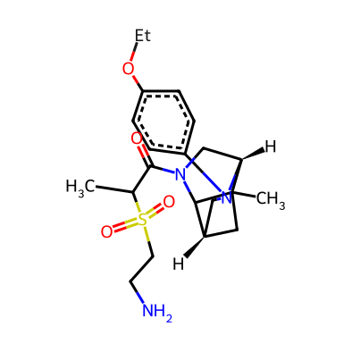 CCOc1ccc(N2C[C@@H]3CC4(C)C3N(C(=O)C(C)S(=O)(=O)CCN)C[C@@H]24)cc1